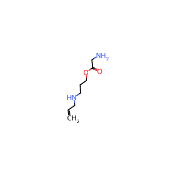 C=CCNCCCOC(=O)CN